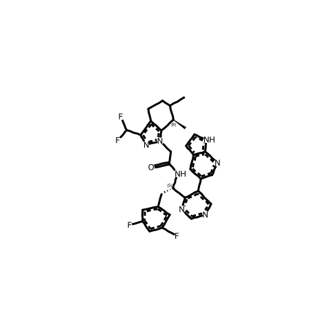 CC1CCc2c(C(F)F)nn(CC(=O)N[C@@H](Cc3cc(F)cc(F)c3)c3ncncc3-c3cnc4[nH]ccc4c3)c2[C@@H]1C